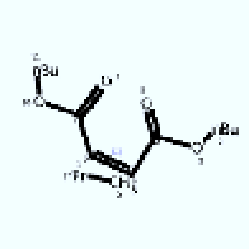 CCCC.CCCCOC(=O)/C=C\C(=O)OCCCC